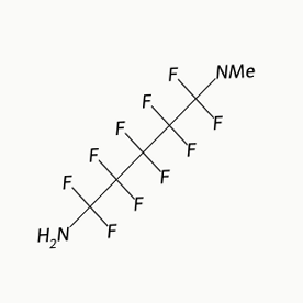 CNC(F)(F)C(F)(F)C(F)(F)C(F)(F)C(N)(F)F